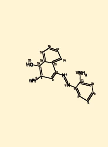 CCCc1cc(/N=N/c2ccccc2N)c2ccccc2c1O